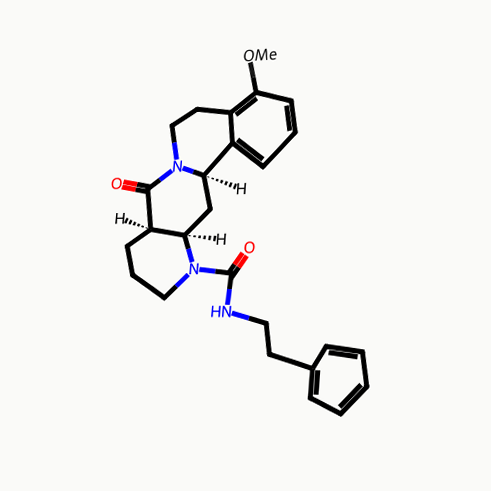 COc1cccc2c1CCN1C(=O)[C@@H]3CCCN(C(=O)NCCc4ccccc4)[C@@H]3C[C@H]21